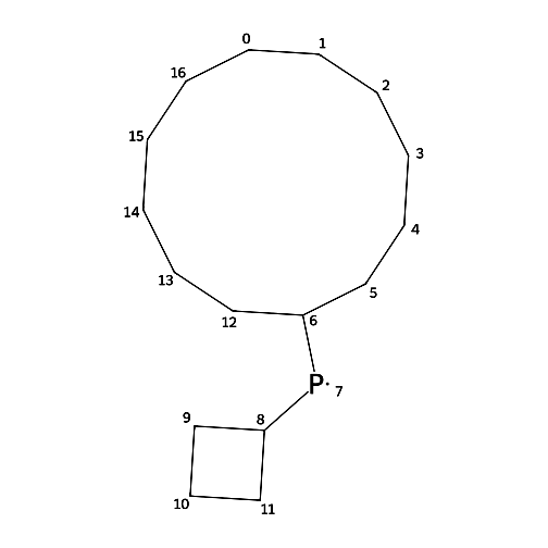 C1CCCCCC([P]C2CCC2)CCCCC1